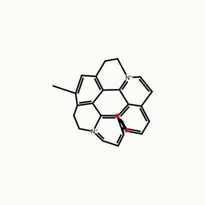 Cc1cc2c(c3c1CC[n+]1ccc4ccccc4c1-3)-c1c3ccccc3cc[n+]1CC2